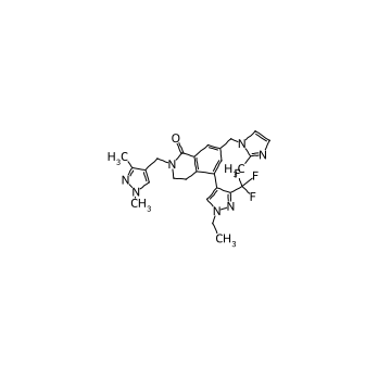 CCn1cc(-c2cc(Cn3ccnc3C)cc3c2CCN(Cc2cn(C)nc2C)C3=O)c(C(F)(F)F)n1